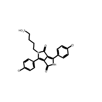 O=C1NC(c2ccc(Cl)cc2)=C2C(=O)N(CCCCS(=O)(=O)O)C(c3ccc(Cl)cc3)=C12